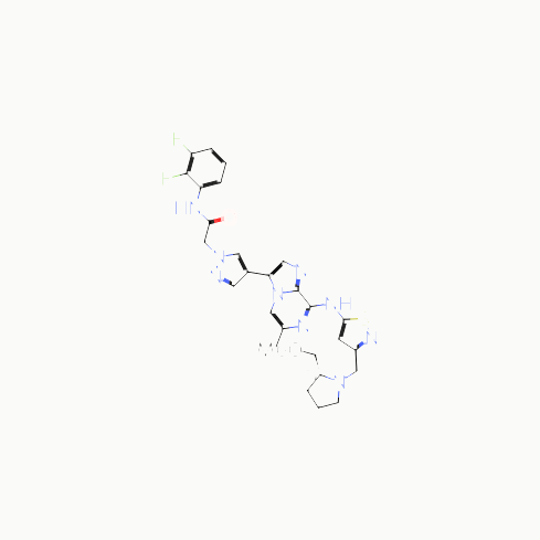 COC[C@@H]1CCCN1Cc1cc(Nc2nc(C)cn3c(-c4cnn(CC(=O)Nc5cccc(F)c5F)c4)cnc23)sn1